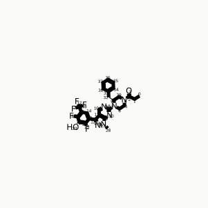 CCC(=O)N1CCN(c2ncc3c(-c4cc(C(F)(F)F)c(F)c(O)c4F)nn(C)c3n2)[C@H](Cc2ccccc2)C1